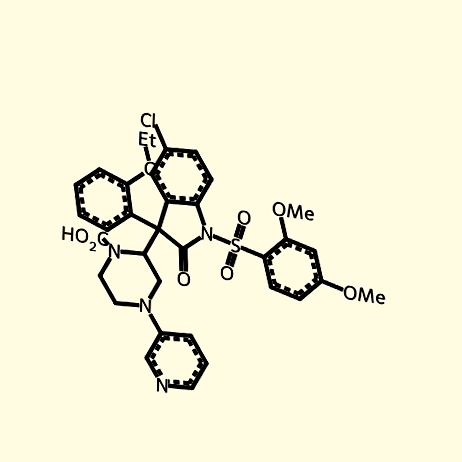 CCOc1ccccc1C1(C2CN(c3cccnc3)CCN2C(=O)O)C(=O)N(S(=O)(=O)c2ccc(OC)cc2OC)c2ccc(Cl)cc21